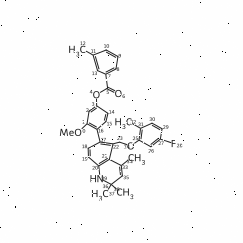 COc1cc(OC(=O)c2cccc(C)c2)ccc1-c1ccc2c(c1COc1cc(F)ccc1C)C(C)=CC(C)(C)N2